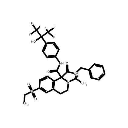 CCS(=O)(=O)c1ccc2c(c1)CCN(C(C)=O)C2(C(=O)Nc1ccc(C(O)(C(F)(F)F)C(F)(F)F)cc1)C(=O)OCc1ccccc1